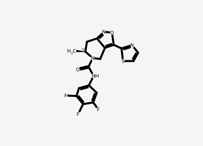 C[C@H]1Cc2noc(-c3nccs3)c2CN1C(=O)Nc1cc(F)c(F)c(F)c1